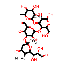 CC(=O)NC1C(O)OC(CO)C(OC2OC(CO)C(O)C(OC3(C(=O)O)CC(O)C(NC(C)=O)C([C@H](O)[C@H](O)CO)O3)C2O)C1OC1OC(C)C(O)C(O)C1O